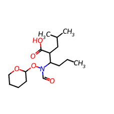 CCCC(C(CC(C)C)C(=O)O)N(C=O)OC1CCCCO1